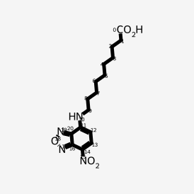 O=C(O)CCCCCCCCCNc1ccc([N+](=O)[O-])c2nonc12